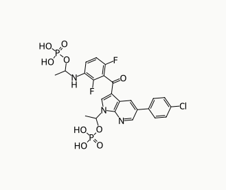 CC(Nc1ccc(F)c(C(=O)c2cn(C(C)OP(=O)(O)O)c3ncc(-c4ccc(Cl)cc4)cc23)c1F)OP(=O)(O)O